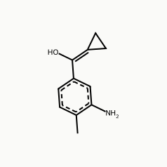 Cc1ccc(C(O)=C2CC2)cc1N